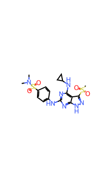 CN(C)S(=O)(=O)c1ccc(Nc2nc(NC3CC3)c3c(S(C)(=O)=O)n[nH]c3n2)cc1